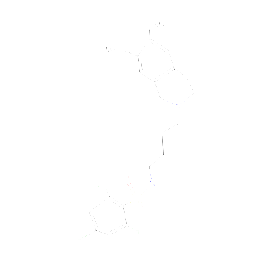 COc1cc2c(cc1OC)CN(CCCCNS(=O)(=O)c1c(Cl)cc(Cl)cc1Cl)CC2